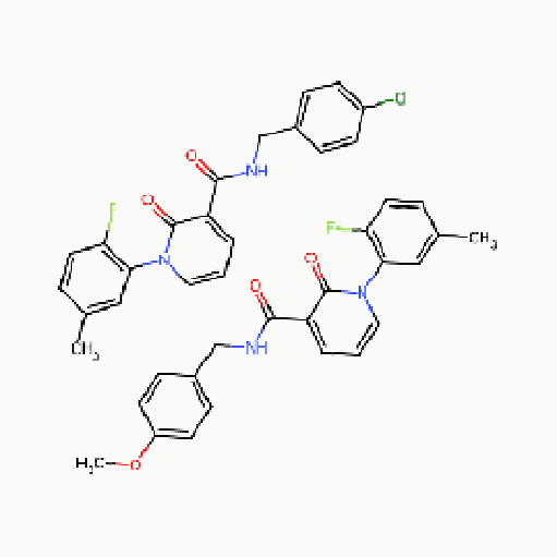 COc1ccc(CNC(=O)c2cccn(-c3cc(C)ccc3F)c2=O)cc1.Cc1ccc(F)c(-n2cccc(C(=O)NCc3ccc(Cl)cc3)c2=O)c1